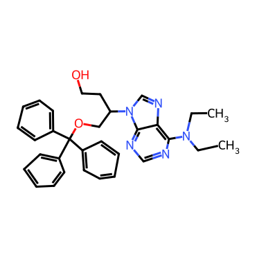 CCN(CC)c1ncnc2c1ncn2C(CCO)COC(c1ccccc1)(c1ccccc1)c1ccccc1